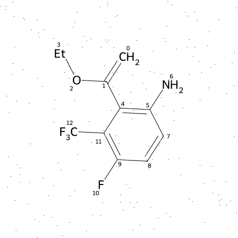 C=C(OCC)c1c(N)ccc(F)c1C(F)(F)F